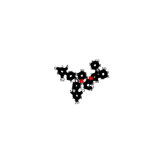 Cc1cc(C)c(-c2ccc(N3c4ccc(-c5c(C)cc(C)cc5C)cc4B4c5c3cccc5-n3c5cc6c(cc5c5cccc4c53)c3ccccc3n6-c3ccccc3)cc2)c(C)c1